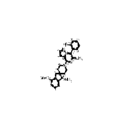 COc1cccc2c1CC1(CCN(c3nc(C)c(-c4ccccc4F)n4nccc34)CC1)[C@@H]2N